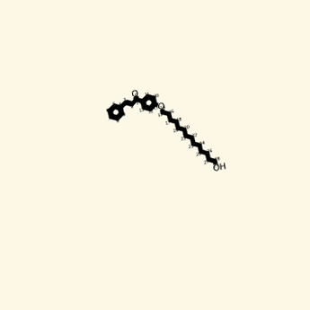 O=C(/C=C/c1ccccc1)c1ccc(OCCCCCCCCCCCCCCO)cc1